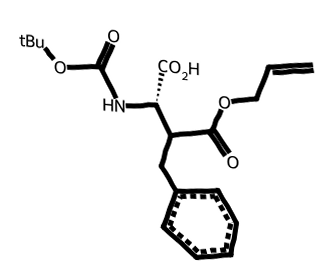 C=CCOC(=O)C(Cc1ccccc1)[C@H](NC(=O)OC(C)(C)C)C(=O)O